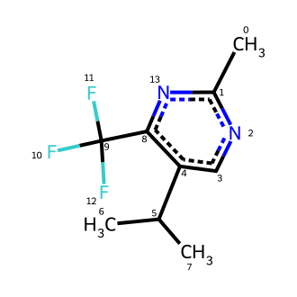 Cc1ncc(C(C)C)c(C(F)(F)F)n1